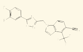 N#Cc1ccc2c(ccn2Cc2noc(-c3ccc(F)c(F)c3)n2)c1C(F)(F)F